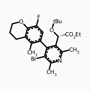 CCOC(=O)[C@@H](OC(C)(C)C)c1c(C)nc(C)c(Br)c1-c1cc(F)c2c(c1C)CCCO2